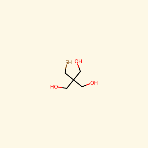 OCC(CO)(CO)CS